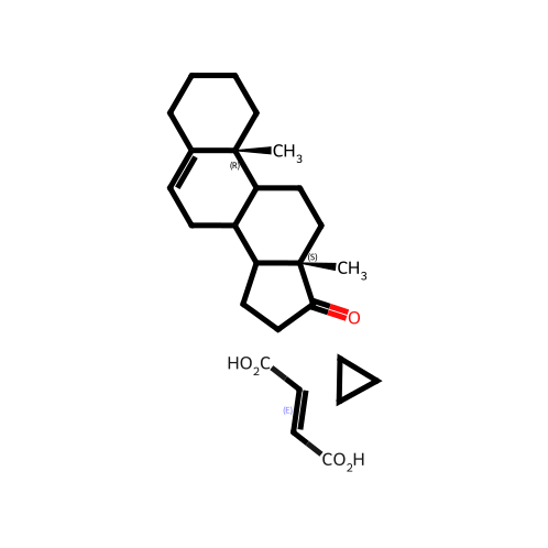 C1CC1.C[C@]12CCCCC1=CCC1C2CC[C@]2(C)C(=O)CCC12.O=C(O)/C=C/C(=O)O